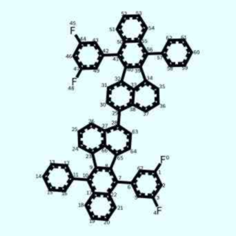 Fc1cc(F)cc(-c2c3c(c(-c4ccccc4)c4ccccc24)-c2cccc4c(-c5ccc6c7c(cccc57)-c5c-6c(-c6cc(F)cc(F)c6)c6ccccc6c5-c5ccccc5)ccc-3c24)c1